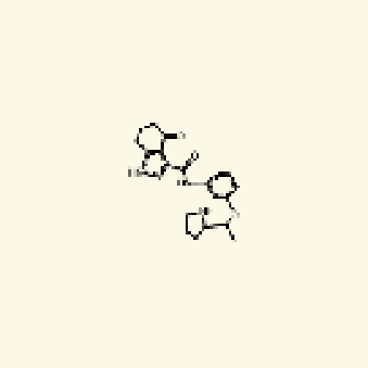 CC(Oc1cccc(NC(=O)c2c[nH]c3c2C(=O)CCC3)c1)C1CCCN1